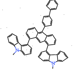 Cn1c2ccccc2c2c(-c3cccc4c(-c5ccc(-c6ccccc6)cc5)c5cccc(-c6cccc7c6c6ccccc6n7C)c5cc34)cccc21